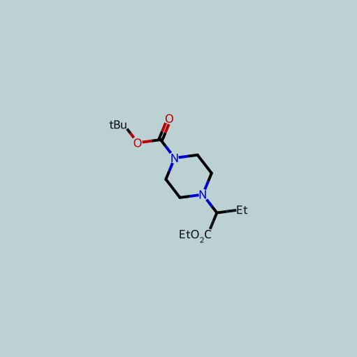 CCOC(=O)C(CC)N1CCN(C(=O)OC(C)(C)C)CC1